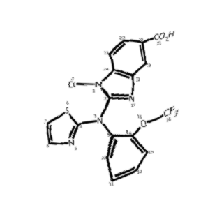 CCn1c(N(c2nccs2)c2ccccc2OC(F)(F)F)nc2cc(C(=O)O)ccc21